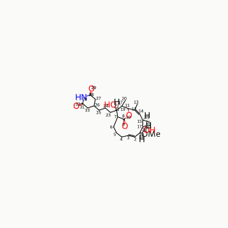 CO[C@H]1/C=C/CCCC2C(=O)OC(/C(C)=C\[C@@H](C)[C@@H]1O)[C@H](C)C2(O)CCCC1CC(=O)NC(=O)C1